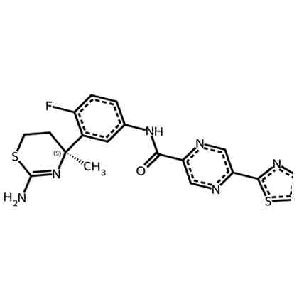 C[C@@]1(c2cc(NC(=O)c3cnc(-c4nccs4)cn3)ccc2F)CCSC(N)=N1